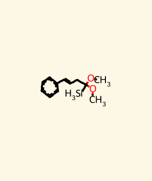 COC([SiH3])(CC=Cc1ccccc1)OC